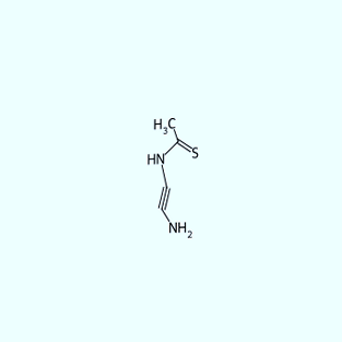 CC(=S)NC#CN